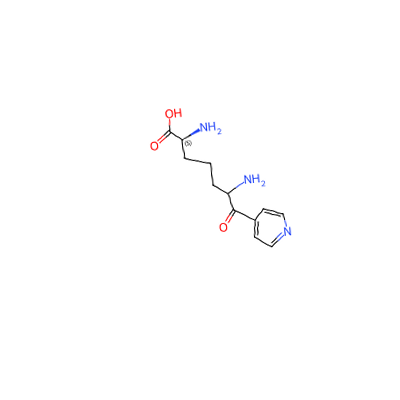 NC(CCC[C@H](N)C(=O)O)C(=O)c1ccncc1